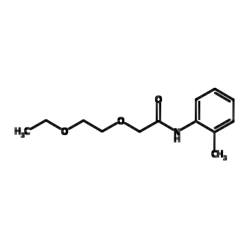 CCOCCOCC(=O)Nc1ccccc1C